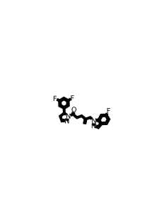 C=C(CCC(=O)N1N=CCC1c1cc(F)cc(F)c1)Cn1ncc2ccc(F)cc21